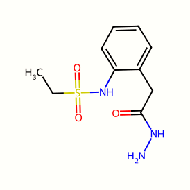 CCS(=O)(=O)Nc1ccccc1CC(=O)NN